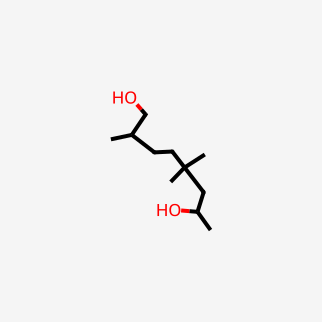 CC(O)CC(C)(C)CCC(C)CO